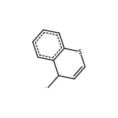 [CH2]C1C=CSc2ccccc21